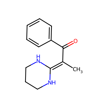 CC(C(=O)c1ccccc1)=C1NCCCN1